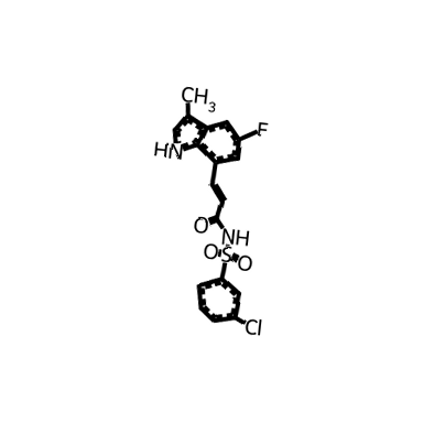 Cc1c[nH]c2c(C=CC(=O)NS(=O)(=O)c3cccc(Cl)c3)cc(F)cc12